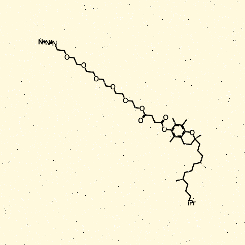 Cc1c(C)c2c(c(C)c1OC(=O)CCC(=O)OCCOCCOCCOCCOCCOCCN=[N+]=[N-])CC[C@@](C)(CCC[C@H](C)CCC[C@H](C)CCCC(C)C)O2